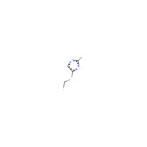 Cc1ncc(NCC(C)C)[nH]1